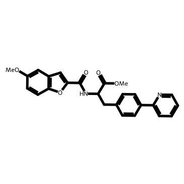 COC(=O)C(Cc1ccc(-c2ccccn2)cc1)NC(=O)c1cc2cc(OC)ccc2o1